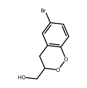 OCC1Cc2cc(Br)ccc2OO1